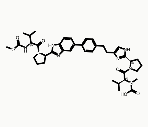 COC(=O)N[C@H](C(=O)N1CCCC1c1nc2cc(-c3ccc(CCc4c[nH]c([C@@H]5CCCN5C(=O)[C@H](C(C)C)N(C)C(=O)O)n4)cc3)ccc2[nH]1)C(C)C